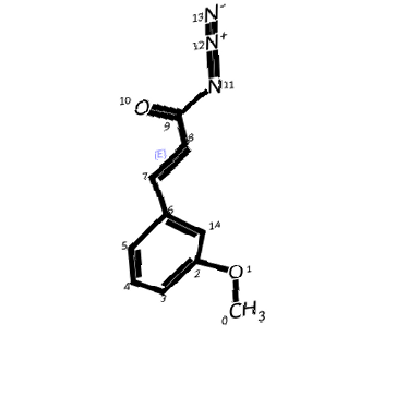 COc1cccc(/C=C/C(=O)N=[N+]=[N-])c1